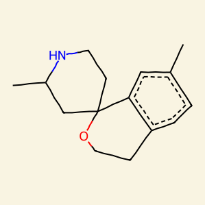 Cc1ccc2c(c1)C1(CCNC(C)C1)OCC2